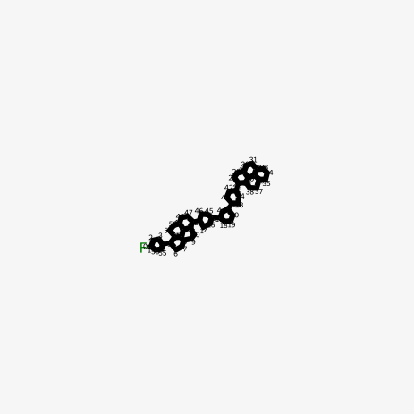 Fc1ccc(-c2ccc3ccc4c(-c5ccc(-c6cccc(-c7ccc(-c8ccc9ccc%10cccc%11ccc8c9c%10%11)cc7)c6)cc5)ccc5ccc2c3c54)cc1